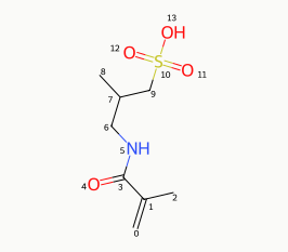 C=C(C)C(=O)NCC(C)CS(=O)(=O)O